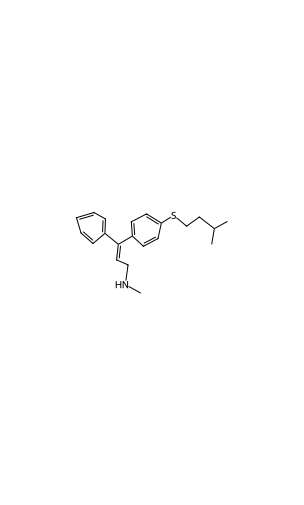 CNCC=C(c1ccccc1)c1ccc(SCCC(C)C)cc1